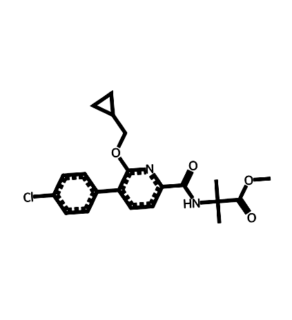 COC(=O)C(C)(C)NC(=O)c1ccc(-c2ccc(Cl)cc2)c(OCC2CC2)n1